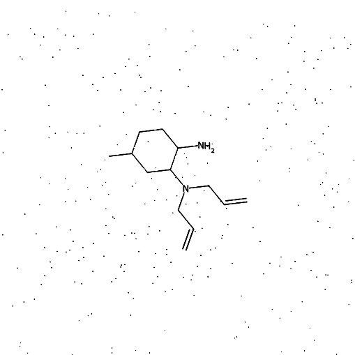 C=CCN(CC=C)C1CC(C)CCC1N